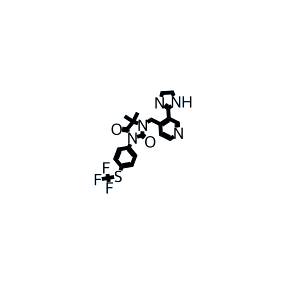 CC1(C)C(=O)N(c2ccc(SC(F)(F)F)cc2)C(=O)N1Cc1ccncc1C1=NCCN1